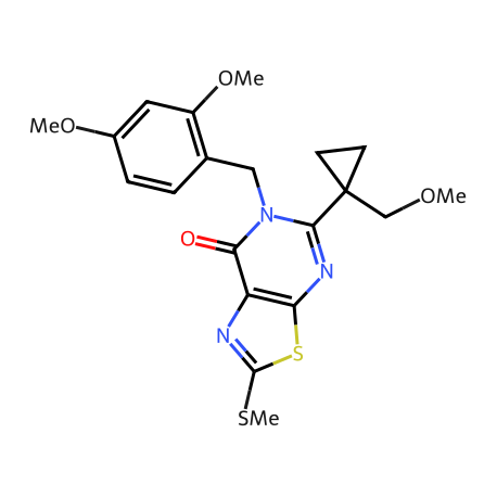 COCC1(c2nc3sc(SC)nc3c(=O)n2Cc2ccc(OC)cc2OC)CC1